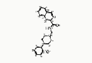 O=C(NCN1CCC(c2cccc[n+]2[O-])CC1)c1ccc2ccccc2c1